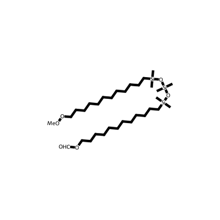 COOCCCCCCCCCCCC[Si](C)(C)O[Si](C)(C)O[Si](C)(C)CCCCCCCCCCCCOC=O